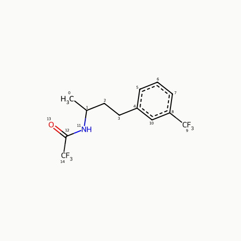 CC(CCc1cccc(C(F)(F)F)c1)NC(=O)C(F)(F)F